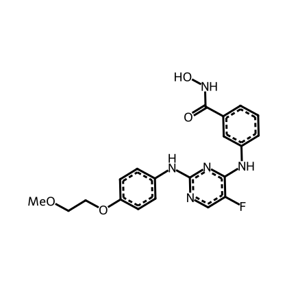 COCCOc1ccc(Nc2ncc(F)c(Nc3cccc(C(=O)NO)c3)n2)cc1